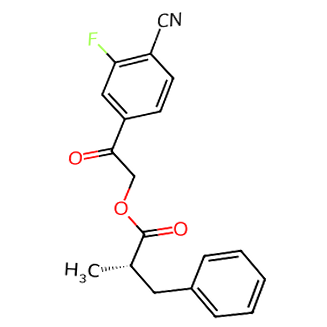 C[C@@H](Cc1ccccc1)C(=O)OCC(=O)c1ccc(C#N)c(F)c1